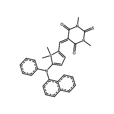 CN1C(=O)C(=CC2=CC=C(N(c3ccccc3)c3cccc4ccccc34)S2(C)C)C(=O)N(C)C1=S